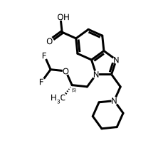 C[C@@H](Cn1c(CN2CCCCC2)nc2ccc(C(=O)O)cc21)OC(F)F